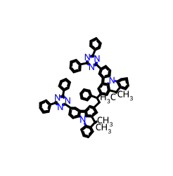 CC1(C)c2ccccc2-n2c3ccc(-c4nc(-c5ccccc5)nc(-c5ccccc5)n4)cc3c3cc(CC(c4ccccc4)c4cc5c6c(c4)c4cc(-c7nc(-c8ccccc8)nc(-c8ccccc8)n7)ccc4n6-c4ccccc4C5(C)C)cc1c32